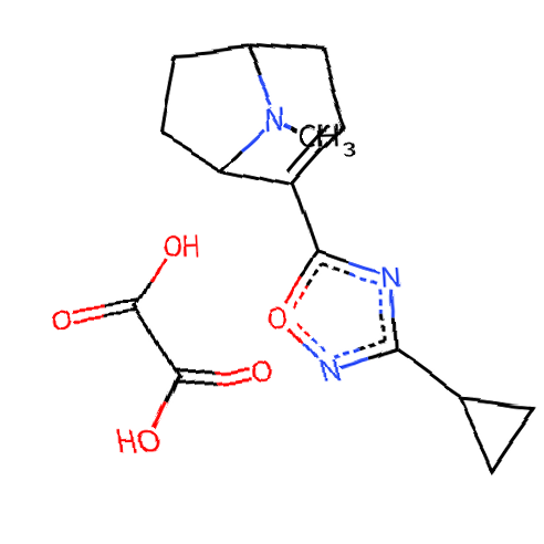 CN1C2CC=C(c3nc(C4CC4)no3)C1CC2.O=C(O)C(=O)O